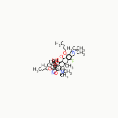 CCCCOc1noc2c1C(=O)[C@@]1(O[Si](C)(C)C(C)(C)C)C(O)=C3C(=O)c4c(c(F)c5c(c4OCCCC)CN(C(C)(C)C)C5)C[C@@]3(C)C[C@H]1[C@@H]2N(C)C